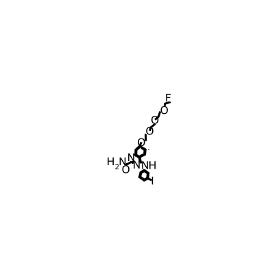 NC(=O)c1nc(Nc2cccc(I)c2)c2c[c]c(OCCOCCOCCOCCF)cc2n1